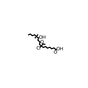 CCCCC(C)(C)C(O)CCCC(Cl)(CCCCCCC(=O)O)C(C)=O